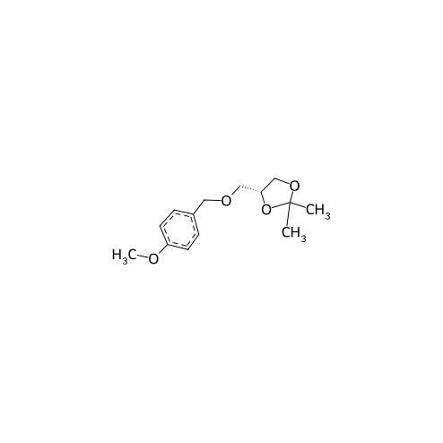 COc1ccc(COC[C@@H]2COC(C)(C)O2)cc1